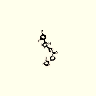 O=C(N1CC(c2nnc(-c3ccc(F)cc3F)[nH]2)C1)N1CC[C@H](c2ncn[nH]2)C1